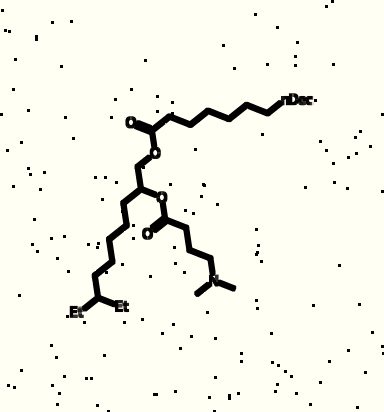 CCCCCCCCCCCCCCCCC(=O)OCC(CCCCCC(CC)CC)OC(=O)CCCN(C)C